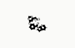 Cl.NCc1cc(Oc2cccc(C(=O)N3CCc4cccnc43)c2)ncn1